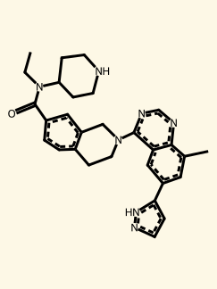 CCN(C(=O)c1ccc2c(c1)CN(c1ncnc3c(C)cc(-c4ccn[nH]4)cc13)CC2)C1CCNCC1